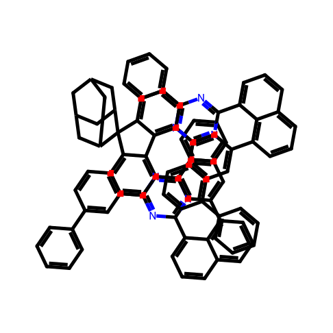 c1ccc(-c2cccc(-c3nc(-c4ccccc4)nc(-c4cccc5cccc(-c6cccc(-c7cccc8c7-c7c(-c9cccc(-c%10cccc%11cccc(-c%12nc(-c%13ccccc%13)nc(-c%13cccc(-c%14ccccc%14)c%13)n%12)c%10%11)c9)cccc7C87C8CC9CC(C8)CC7C9)c6)c45)n3)c2)cc1